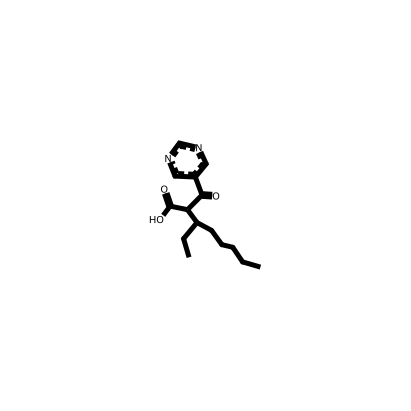 CCCCCC(CC)C(C(=O)O)C(=O)c1cncnc1